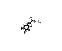 NC(=O)c1cc2cc(F)c(F)cc2o1